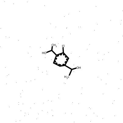 CC(O)c1ccc(C(C)O)c(Cl)c1